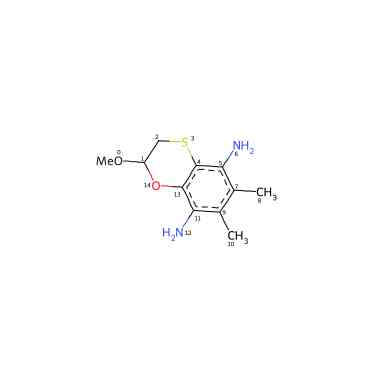 COC1CSc2c(N)c(C)c(C)c(N)c2O1